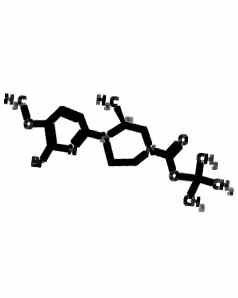 COc1ccc(N2CCN(C(=O)OC(C)(C)C)C[C@@H]2C)nc1Br